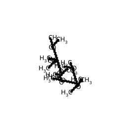 CCCCCCCC(=O)N(CCCN(C)C)C(CCCCCCCCCOC(=O)C(CCCC)CCCCCC)CCCCCCCCCOC(=O)C(CCCCCC)CC(CC)C(CCCC)CC(CCCCCC)C(=O)OCCCCCCCCC(CCCCCCCCOC(=O)C(CCCCCC)CCCCCC)N(CCCN(C)C)C(=O)CCCCCCC